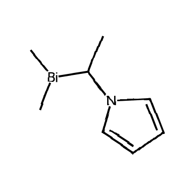 C[CH](n1cccc1)[Bi]([CH3])[CH3]